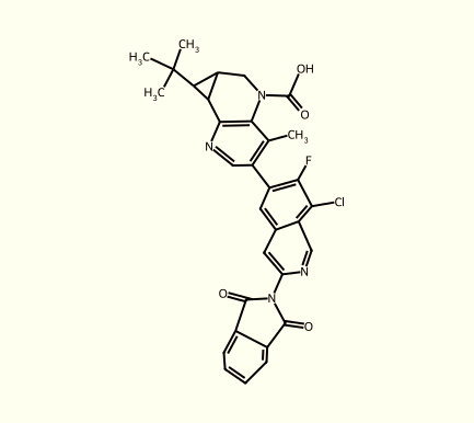 Cc1c(-c2cc3cc(N4C(=O)c5ccccc5C4=O)ncc3c(Cl)c2F)cnc2c1N(C(=O)O)CC1C2C1C(C)(C)C